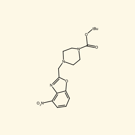 CC(C)(C)OC(=O)N1CCN(Cc2nc3c([N+](=O)[O-])cccc3o2)CC1